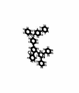 c1ccc(-c2ccc(N(c3ccccc3)c3ccc(-c4cc(-c5cc(-c6ccccc6)nc(-c6ccccc6)n5)c5c(c4)oc4ccccc45)cc3)cc2)cc1